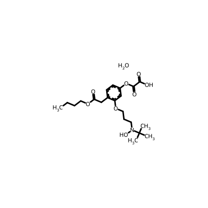 CCCCOC(=O)Cc1ccc(OC(=O)C(=O)O)cc1OCCCN(O)C(C)(C)C.O